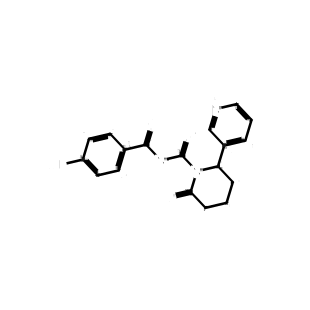 O=C(NC(=S)N1C(=O)CCCC1c1cccnc1)c1ccc(F)cc1